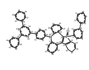 O=P1(c2cccc(-c3ccccc3)c2)C2=C(CCC=C2)C2=C1c1ccccc1N(c1ccc(-c3cc(-c4ccccc4)nc(-c4ccccc4)n3)cc1)c1ccccc12